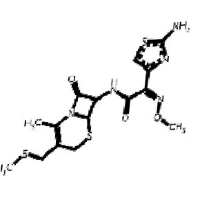 CO/N=C(\C(=O)NC1C(=O)N2C(C)=C(CSC)CSC12)c1csc(N)n1